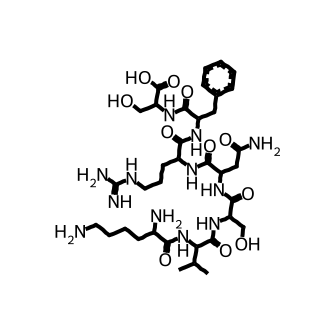 CC(C)C(NC(=O)C(N)CCCCN)C(=O)NC(CO)C(=O)NC(CC(N)=O)C(=O)NC(CCCNC(=N)N)C(=O)NC(Cc1ccccc1)C(=O)NC(CO)C(=O)O